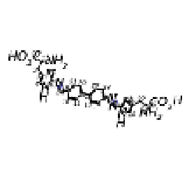 NC(Cc1c[nH]c(/N=N/c2ccc(-c3ccc(/N=N/c4nc(CC(N)C(=O)O)c[nH]4)cc3)cc2)n1)C(=O)O